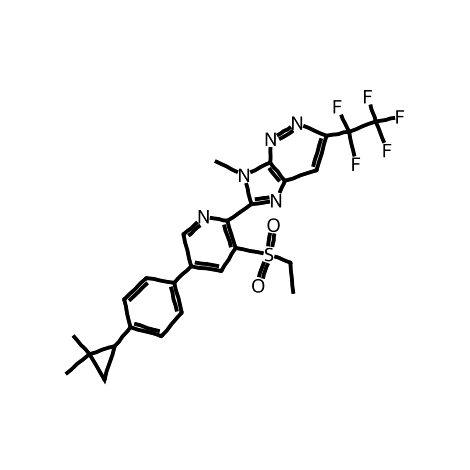 CCS(=O)(=O)c1cc(-c2ccc(C3CC3(C)C)cc2)cnc1-c1nc2cc(C(F)(F)C(F)(F)F)nnc2n1C